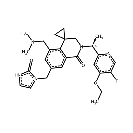 CCOc1cc([C@H](C)N2CC3(CC3)c3c(CN(C)C)cc(Cn4cc[nH]c4=O)cc3C2=O)ncc1F